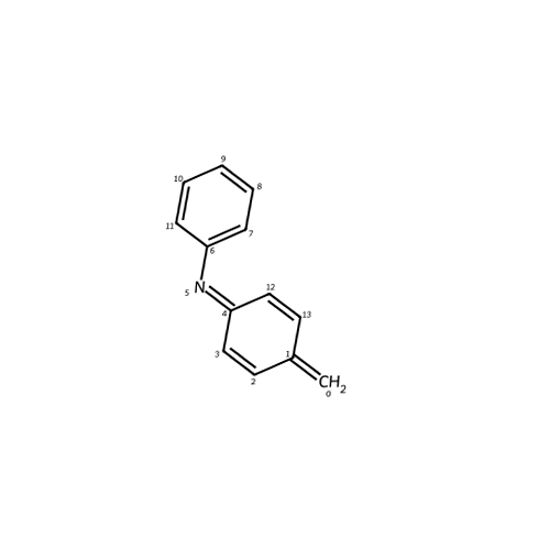 C=C1C=CC(=Nc2ccccc2)C=C1